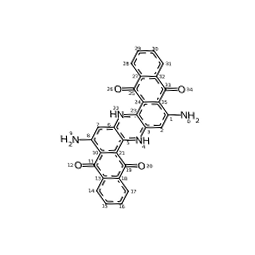 Nc1cc2[nH]c3c(cc(N)c4c(=O)c5ccccc5c(=O)c43)[nH]c2c2c(=O)c3ccccc3c(=O)c12